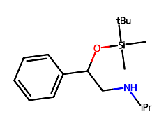 CC(C)NCC(O[Si](C)(C)C(C)(C)C)c1ccccc1